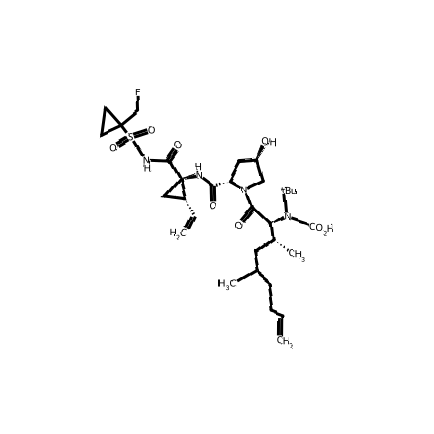 C=CCCC(C)C[C@@H](C)[C@@H](C(=O)N1C[C@H](O)C[C@H]1C(=O)N[C@]1(C(=O)NS(=O)(=O)C2(CF)CC2)C[C@H]1C=C)N(C(=O)O)C(C)(C)C